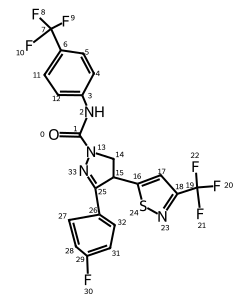 O=C(Nc1ccc(C(F)(F)F)cc1)N1CC(c2cc(C(F)(F)F)ns2)C(c2ccc(F)cc2)=N1